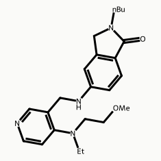 CCCCN1Cc2cc(NCc3cnccc3N(CC)CCOC)ccc2C1=O